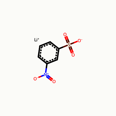 O=[N+]([O-])c1cccc(S(=O)(=O)[O-])c1.[Li+]